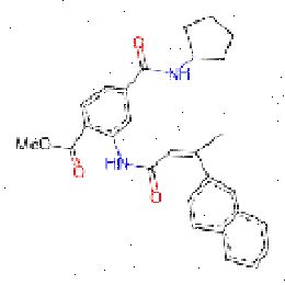 COC(=O)c1ccc(C(=O)NC2CCCC2)cc1NC(=O)/C=C(/C)c1ccc2ccccc2c1